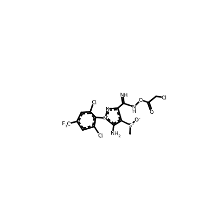 C[S+]([O-])c1c(C(=N)NOC(=O)CCl)nn(-c2c(Cl)cc(C(F)(F)F)cc2Cl)c1N